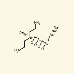 CC(=O)[O-].CC(=O)[O-].CC(=O)[O-].CC(=O)[O-].CC(=O)[O-].NCCNCCN.[Na+].[Na+].[Na+].[Zn+2]